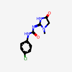 CN1CC(=O)NC1=NC(=O)Nc1ccc(Cl)cc1